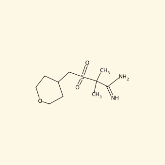 CC(C)(C(=N)N)S(=O)(=O)CC1CCOCC1